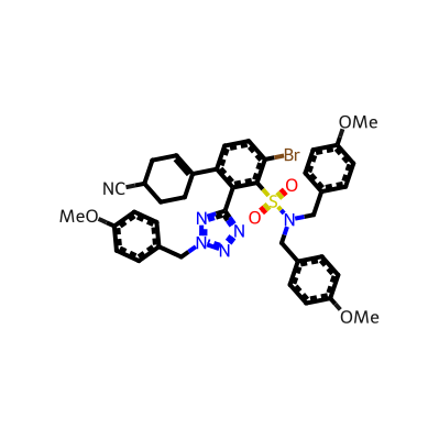 COc1ccc(CN(Cc2ccc(OC)cc2)S(=O)(=O)c2c(Br)ccc(C3=CCC(C#N)CC3)c2-c2nnn(Cc3ccc(OC)cc3)n2)cc1